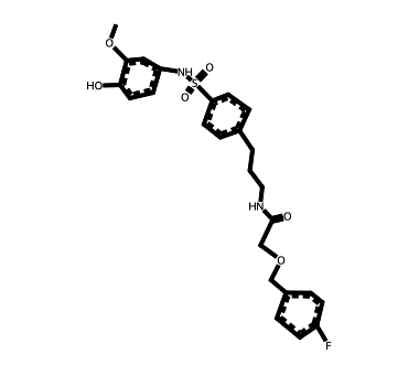 COc1cc(NS(=O)(=O)c2ccc(CCCNC(=O)COCc3ccc(F)cc3)cc2)ccc1O